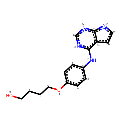 OCCCCOc1ccc(Nc2ncnc3[nH]ccc23)cc1